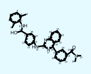 Cc1cccc(C)c1NC(O)c1ccc(Nc2nc(-c3cccc(C(=O)N(C)C)c3)c3ccccc3n2)cc1